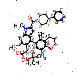 Cc1nc2c(cc(C(=O)N3CCC(c4ccncc4)CC3)n2C)c(-c2cc(F)c3c(c2C)CCCO3)c1[C@H](OC(C)(C)C)C(=O)O